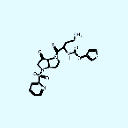 CCCC(NC(=O)Oc1ccsc1)C(=O)N1CCC2C1C(=O)CN2S(=O)(=O)c1ccccn1